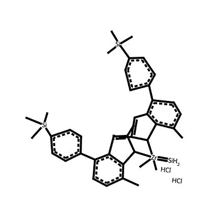 CCC1=Cc2c(-c3ccc([Si](C)(C)C)cc3)ccc(C)c2[CH]1[Zr]([CH3])([CH3])(=[SiH2])[CH]1C(C)=Cc2c(-c3ccc([Si](C)(C)C)cc3)ccc(C)c21.Cl.Cl